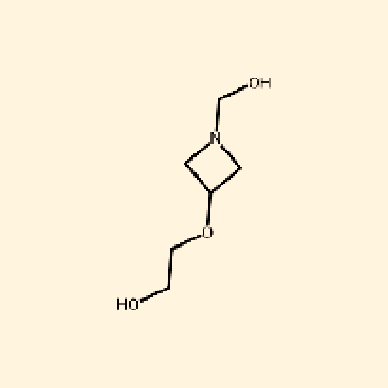 OCCOC1CN(CO)C1